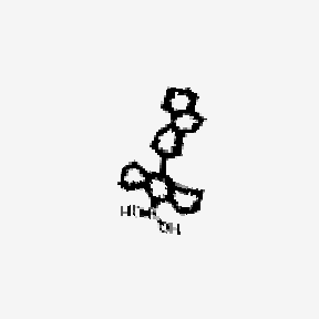 OB(O)c1c2ccccc2c(-c2ccc3c(ccc4ccccc43)c2)c2ccccc12